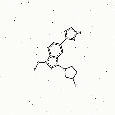 FSn1nc(N2CCC(F)C2)c2cc(-c3cc[nH]n3)cnc21